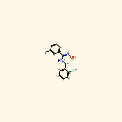 Cc1cccc(/C(=N/O)NCc2ccccc2F)c1